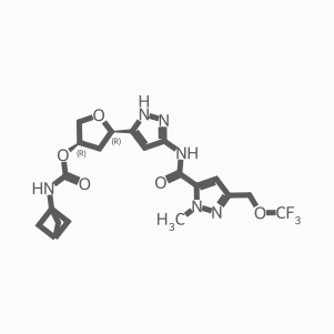 Cn1nc(COC(F)(F)F)cc1C(=O)Nc1cc([C@H]2C[C@@H](OC(=O)NC34CC(C3)C4)CO2)[nH]n1